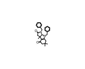 CC1(C)CC(=O)C2=C(C1)N(Cc1ccccc1)C1N(Cc3ccccc3)C(=O)CC21C